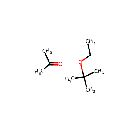 CC(C)=O.CCOC(C)(C)C